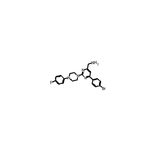 NCc1cc(-c2ccc(Br)cc2)nc(N2CCN(c3ccc(F)cc3)CC2)n1